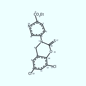 CCOC(=O)c1ccc(N2Cc3cc(Cl)cc(Cl)c3OC2=S)cn1